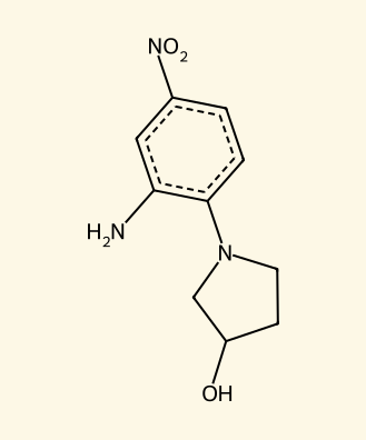 Nc1cc([N+](=O)[O-])ccc1N1CCC(O)C1